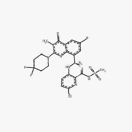 C[C@@H](Nc1ccc(Cl)nc1C(=O)NS(C)(=O)=O)c1cc(F)cc2c(=O)n(C)c(N3CCC(F)(F)CC3)nc12